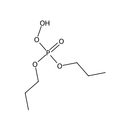 CCCOP(=O)(OO)OCCC